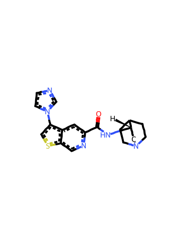 O=C(N[C@H]1CN2CCC1CC2)c1cc2c(-n3ccnc3)csc2cn1